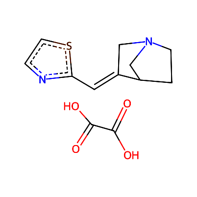 C(=C1/CN2CCC1C2)/c1nccs1.O=C(O)C(=O)O